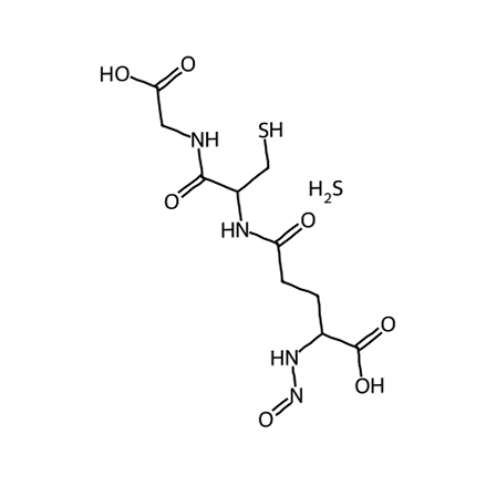 O=NNC(CCC(=O)NC(CS)C(=O)NCC(=O)O)C(=O)O.S